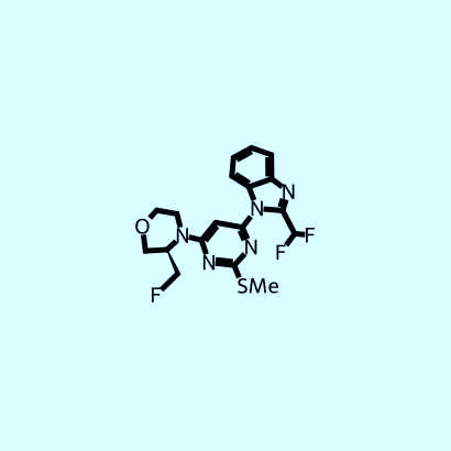 CSc1nc(N2CCOC[C@@H]2CF)cc(-n2c(C(F)F)nc3ccccc32)n1